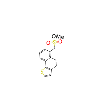 COS(=O)(=O)Cc1cccc2c1CCc1ccsc1-2